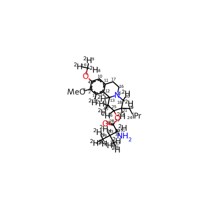 [2H]c1c(OC)c(OC([2H])([2H])[2H])cc2c1C1([2H])N(CC2)C([2H])([2H])C([2H])(CC(C)C)C([2H])(OC(=O)[C@@]([2H])(N)C([2H])(C([2H])([2H])[2H])C([2H])([2H])[2H])C1([2H])[2H]